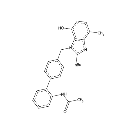 CCCCc1nc2c(C)ccc(O)c2n1Cc1ccc(-c2ccccc2NC(=O)C(F)(F)F)cc1